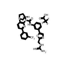 N=C(N)NCc1ncc(-c2cccc(NC(=O)N3c4nc(-c5cccc(C(F)(F)F)c5)ccc4N4CC[C@H]3C4)c2)o1.O=C(O)C(F)(F)F